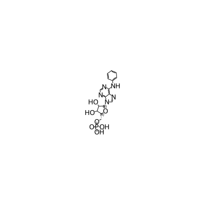 O=P(O)(O)OC[C@H]1O[C@@H](n2cnc3c(Nc4ccccc4)ncnc32)C(O)C1O